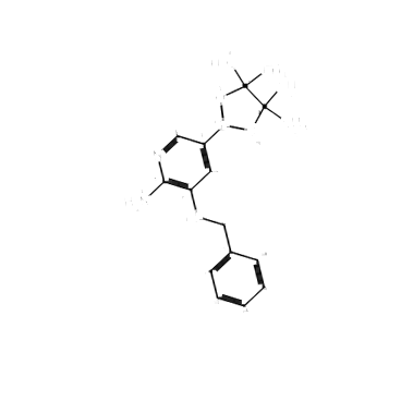 CC1(C)OB(c2cnc(N)c(SCc3ccccc3)c2)OC1(C)C